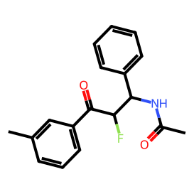 CC(=O)NC(c1ccccc1)C(F)C(=O)c1cccc(C)c1